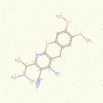 COc1cc2c(cc1OC)Oc1nc(C(C)N(C)C)c(C#N)c(N)c1C2